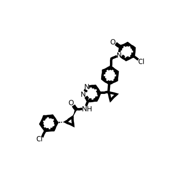 O=C(Nc1cc(C2(c3ccc(Cn4cc(Cl)ccc4=O)cc3)CC2)cnn1)[C@H]1C[C@@H]1c1cccc(Cl)c1